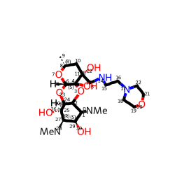 CNC1C2OC3(O)[C@@H](O[C@H](C)C[C@@]3(O)CNCCN3CCOCC3)O[C@@H]2[C@@H](O)[C@H](NC)[C@@H]1O